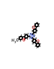 Cc1ccc2c(c1)oc1cc(-c3nc(-c4ccc5c(c4)oc4ccccc45)nc(-c4ccc5c(c4)oc4ccccc45)n3)ccc12